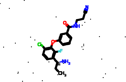 CC[C@@H](N)c1ccc(Cl)c(Oc2cccc(C(=O)NCCC#N)c2)c1F